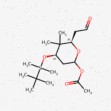 CC(=O)OC1C[C@@H](O[Si](C)(C)C(C)(C)C)C(C)(C)[C@@H](CC=O)O1